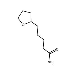 NC(=O)CCCCC1CCCO1